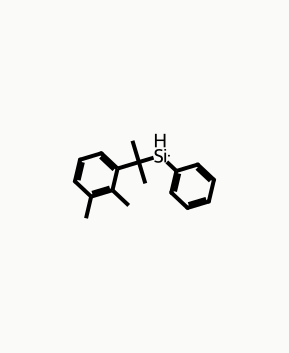 Cc1cccc(C(C)(C)[SiH]c2ccccc2)c1C